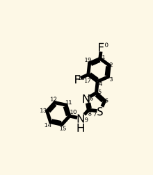 Fc1ccc(-c2csc(Nc3ccccc3)n2)c(F)c1